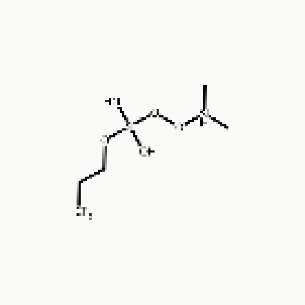 C[SiH](C)OO[Si](O)(O)OCCC(F)(F)F